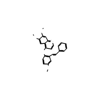 COc1ccc(Oc2ccnc3cc(OC)c(OC)cc23)c(C=Cc2ccccc2)c1